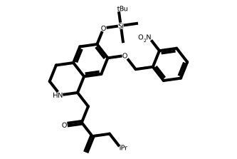 C=C(CC(C)C)C(=O)CC1NCCc2cc(O[Si](C)(C)C(C)(C)C)c(OCc3ccccc3[N+](=O)[O-])cc21